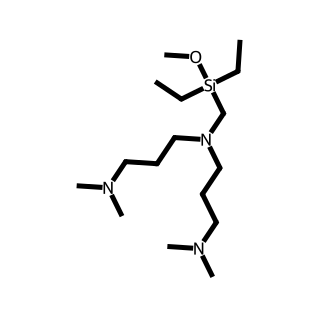 CC[Si](CC)(CN(CCCN(C)C)CCCN(C)C)OC